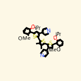 COc1cccc(OC(C)C)c1-c1cc(-c2ccncc2)c(-c2sc(-c3sc(-c4c(OC)cccc4OC(C)C)cc3-c3ccncc3)c(C)c2C)s1